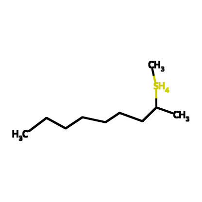 CCCCCCCC(C)[SH4]C